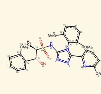 COc1cccc(-c2nnc(NS(=O)(=O)[C@H](C)[C@H](O)c3ccccc3OC)n2-c2c(OC)cccc2OC)n1